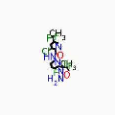 CC(F)(F)c1cnc(C(=O)Nc2ccc(F)c([C@@]3(C)N=C(N)OCC3(F)F)n2)c(Cl)c1